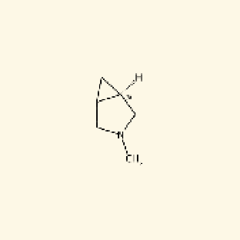 CN1CC2C[C@H]2C1